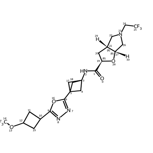 O=C(NC12CC(c3nnc(C4CC(OC(F)(F)F)C4)o3)(C1)C2)[C@H]1C[C@@H]2CN(CC(F)(F)F)C[C@@H]2O1